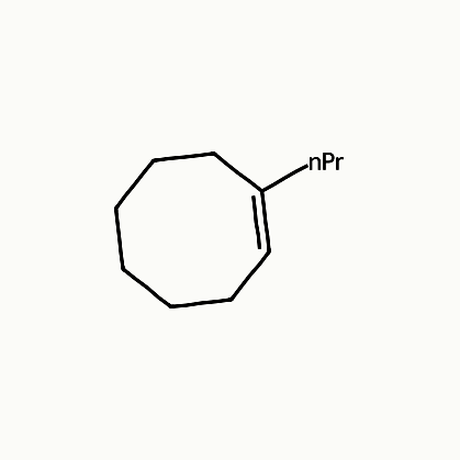 CCC/C1=C/CCCCCC1